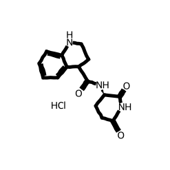 Cl.O=C1CC[C@H](NC(=O)C2CCNc3ccccc32)C(=O)N1